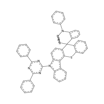 c1ccc(-c2nc(-c3ccccc3)nc(-n3c4ccccc4c4c5c(ccc43)C3(c4ccccc4S5)c4ccccc4N(c4ccccc4)c4ccccc43)n2)cc1